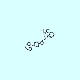 Cc1ccccc1OCCOc1ccc(C2OCCCO2)cc1